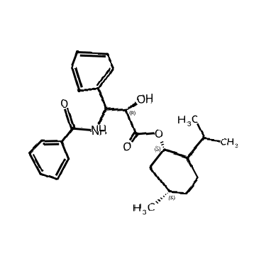 CC(C)C1CC[C@H](C)C[C@@H]1OC(=O)[C@H](O)C(NC(=O)c1ccccc1)c1ccccc1